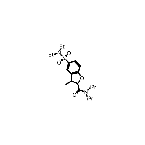 CCN(CC)S(=O)(=O)c1ccc2c(c1)C(C)C(C(=O)N(C(C)C)C(C)C)O2